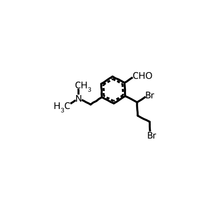 CN(C)Cc1ccc(C=O)c(C(Br)CCBr)c1